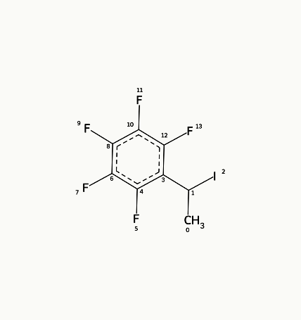 CC(I)c1c(F)c(F)c(F)c(F)c1F